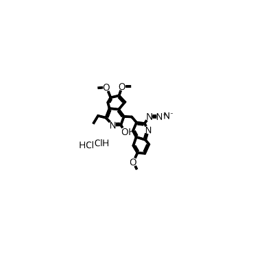 CCc1nc(O)c(Cc2cc3cc(OC)ccc3nc2N=[N+]=[N-])c2cc(OC)c(OC)cc12.Cl.Cl